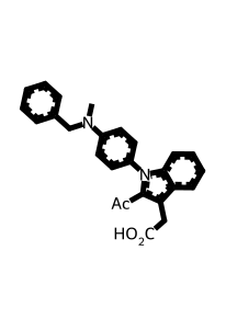 CC(=O)c1c(CC(=O)O)c2ccccc2n1-c1ccc(N(C)Cc2ccccc2)cc1